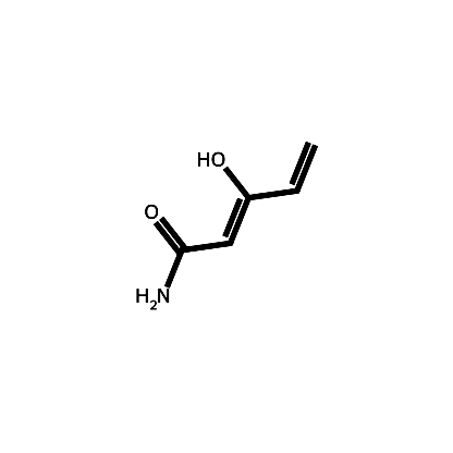 C=C/C(O)=C/C(N)=O